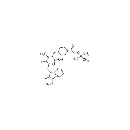 CN(C(=O)OCC1c2ccccc2-c2ccccc21)C(CC1CCN(C(=O)COC(C)(C)C)CC1)C(=O)O